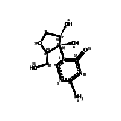 Nc1ncn([C@]2(O)[C@@H](O)CO[C@@H]2CO)c(=O)n1